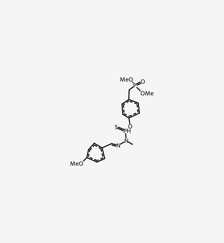 COc1ccc(/C=N/N(C)[PH](=S)Oc2ccc(CP(=O)(OC)OC)cc2)cc1